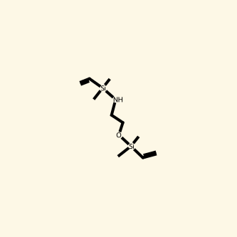 C=C[Si](C)(C)NCCO[Si](C)(C)C=C